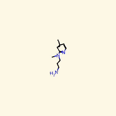 Cc1ccnc(N(C)CCCN)c1